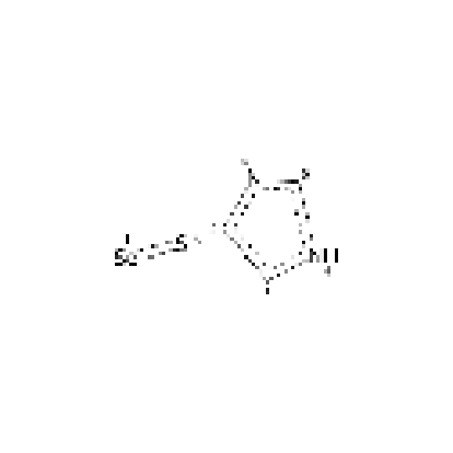 S=[Se].c1c[nH]cn1